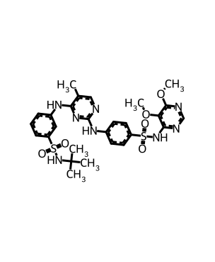 COc1ncnc(NS(=O)(=O)c2ccc(Nc3ncc(C)c(Nc4cccc(S(=O)(=O)NC(C)(C)C)c4)n3)cc2)c1OC